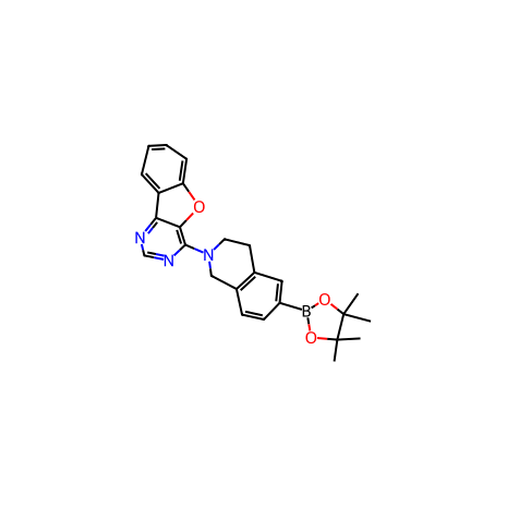 CC1(C)OB(c2ccc3c(c2)CCN(c2ncnc4c2oc2ccccc24)C3)OC1(C)C